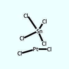 [Cl][Pt][Cl].[Cl][Sn]([Cl])([Cl])[Cl]